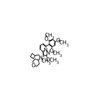 COc1cc(OC)c(-c2cccc3c([N+](C)(CC4CCC4)C4CCOCC4)c(OC)nn23)c(OC)c1